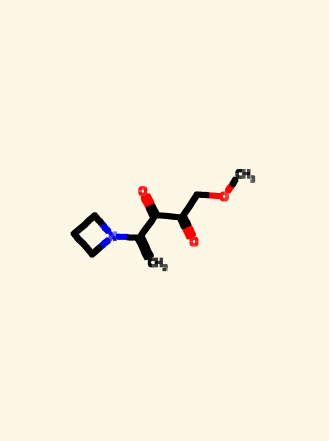 C=C(C(=O)C(=O)COC)N1CCC1